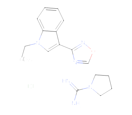 CCCCCCCCCCCn1cc(-c2noc([C@@H]3CCCN3C(=N)N)n2)c2ccccc21.Cl